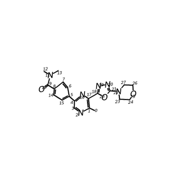 Cc1ncc(-c2ccc(C(=O)N(C)C)cc2)nc1-c1nnc(N2CCOCC2)o1